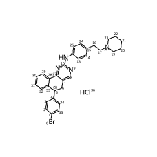 Brc1ccc([C@@H]2Cc3cnc(Nc4ccc(CCN5CCCCC5)cc4)nc3-c3ccccc32)cc1.Cl